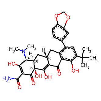 CN(C)[C@@H]1C(O)=C(C(N)=O)C(=O)[C@@]2(O)C(O)=C3C(=O)c4c(O)c(C(C)(C)C)cc(-c5ccc6c(c5)OCO6)c4C[C@H]3C[C@H]12